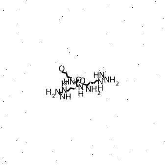 N=C(N)NCCC[C@H](N)C(=O)N[C@H](CCCNC(=N)N)C(=O)NCCCC=O